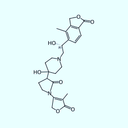 CC1=C(N2CCC(C3(O)CCN(C[C@H](O)c4ccc5c(c4C)COC5=O)CC3)C2=O)COC1=O